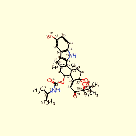 CC(C)NC(=O)O[C@H]1C[C@H]2Cc3c([nH]c4ccc(Br)cc34)[C@]2(C)[C@@]2(C)CC[C@@]34O[C@@H](C(=O)C=C3C12)C(C)(C)O4